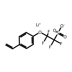 C=Cc1ccc(OC(F)(F)C(F)(F)S(=O)(=O)[O-])cc1.[Li+]